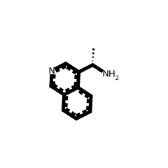 C[C@H](N)c1cncc2ccccc12